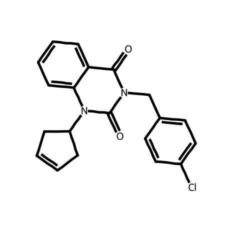 O=c1c2ccccc2n(C2CC=CC2)c(=O)n1Cc1ccc(Cl)cc1